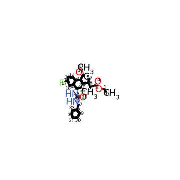 CCOC(=O)Cc1ccc(OC)c(-c2ccc(F)cc2C(CC)NC(=O)NCc2ccccc2)c1